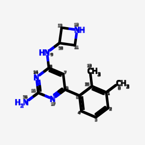 Cc1cccc(-c2cc(NC3CNC3)nc(N)n2)c1C